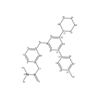 C=C(Cc1cccc(Cc2cc(-c3ccc(C)cc3)cc(C3CCCCC3)c2)c1)N(C)C